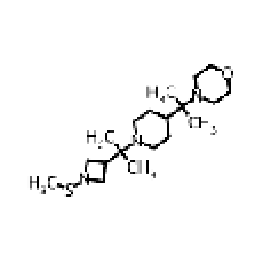 CSN1CC(C(C)(C)N2CCC(C(C)(C)N3CCOCC3)CC2)C1